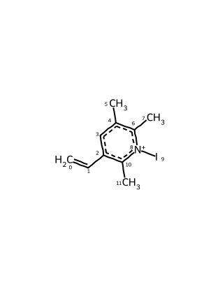 C=Cc1cc(C)c(C)[n+](I)c1C